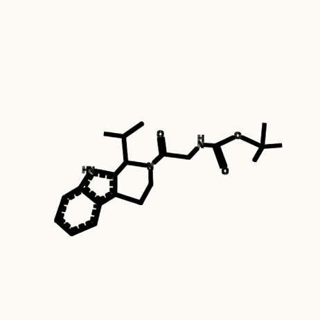 CC(C)C1c2[nH]c3ccccc3c2CCN1C(=O)CNC(=O)OC(C)(C)C